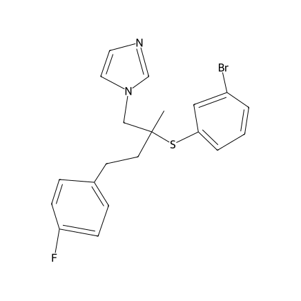 CC(CCc1ccc(F)cc1)(Cn1ccnc1)Sc1cccc(Br)c1